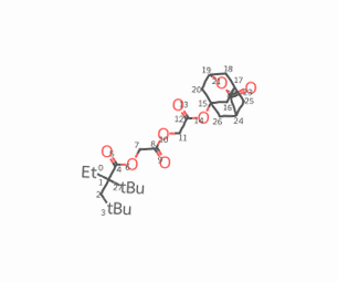 CCC(CC(C)(C)C)(C(=O)OCC(=O)OCC(=O)OC12CC3CC(C1)OC(=O)C(C3)C2)C(C)(C)C